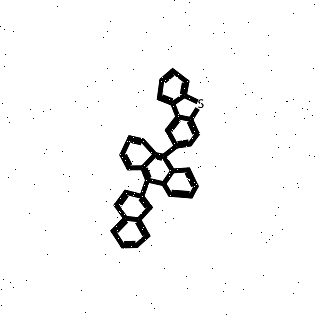 C1=CC2C(c3ccc4ccccc4c3)=c3ccccc3=C(c3ccc4sc5ccccc5c4c3)C2C=C1